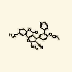 COc1ccc(C2C(C#N)=C(N)Oc3c2c(=O)oc2ccc(C)cc32)cc1-c1cccnc1